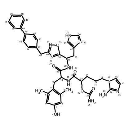 Cc1cc(O)cc(C)c1CC(NC(=O)C(CCCn1ccnc1N)OC(N)=O)C(=O)NC(Cc1c[nH]cn1)c1nc(Cc2ccc(-c3ccccc3)cc2)no1